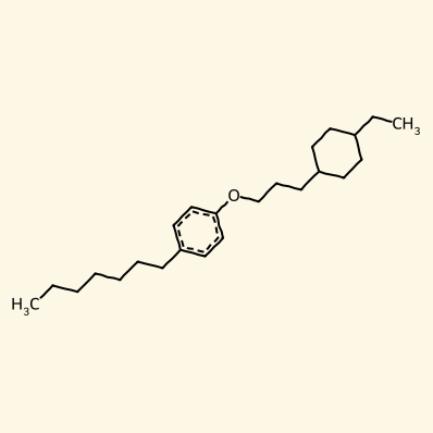 CCCCCCCc1ccc(OCCCC2CCC(CC)CC2)cc1